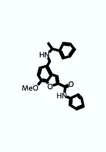 COc1ccc(CNC(C)c2ccccc2)c2cc(C(=O)Nc3ccccc3)oc12